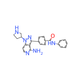 Nc1nccc2c1c(-c1ccc(C(=O)Nc3ccccc3)cc1)nn2[C@H]1CCNC1